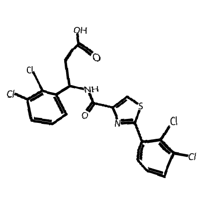 O=C(O)CC(NC(=O)c1csc(-c2cccc(Cl)c2Cl)n1)c1cccc(Cl)c1Cl